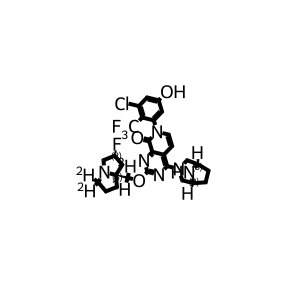 [2H]C1([2H])CC[C@@]2(C([2H])([2H])Oc3nc(N4C[C@H]5CC[C@@H](C4)N5)c4ccn(-c5cc(O)cc(Cl)c5C(F)(F)F)c(=O)c4n3)C[C@@H](F)CN12